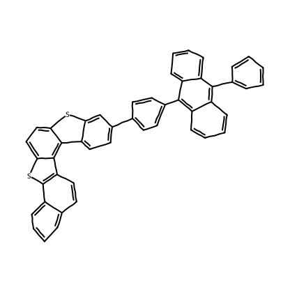 c1ccc(-c2c3ccccc3c(-c3ccc(-c4ccc5c(c4)sc4ccc6sc7c8ccccc8ccc7c6c45)cc3)c3ccccc23)cc1